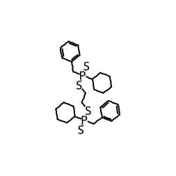 S=P(Cc1ccccc1)(SCCSP(=S)(Cc1ccccc1)C1CCCCC1)C1CCCCC1